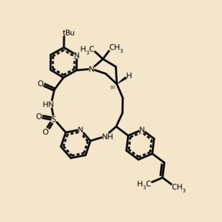 CC(C)=Cc1ccc(C2CC[C@@H]3CN(c4nc(C(C)(C)C)ccc4C(=O)NS(=O)(=O)c4cccc(n4)N2)C(C)(C)C3)nc1